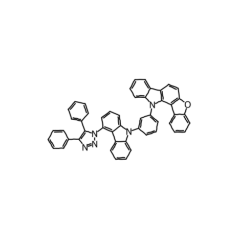 c1ccc(-c2nnn(-c3cccc4c3c3ccccc3n4-c3cccc(-n4c5ccccc5c5ccc6oc7ccccc7c6c54)c3)c2-c2ccccc2)cc1